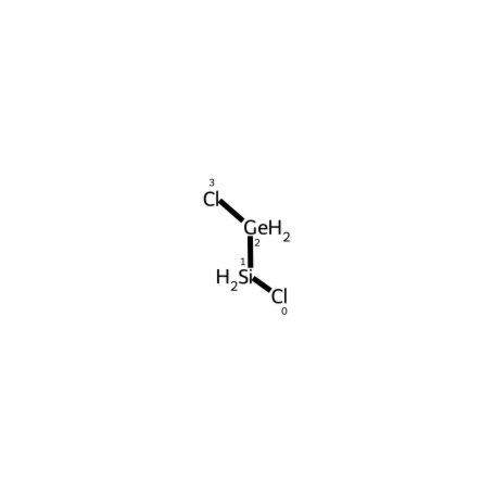 Cl[SiH2][GeH2][Cl]